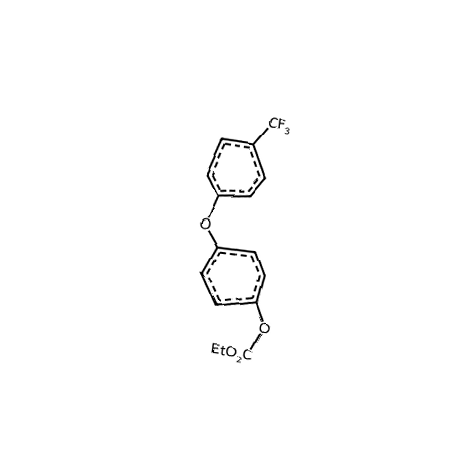 CCOC(=O)Oc1ccc(Oc2ccc(C(F)(F)F)cc2)cc1